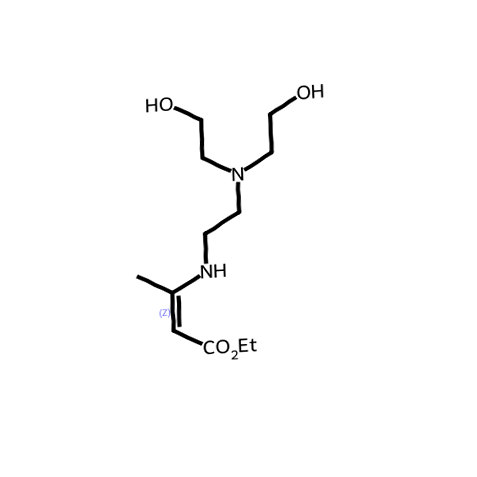 CCOC(=O)/C=C(/C)NCCN(CCO)CCO